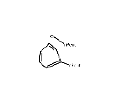 CCCCCCl.CCCCCc1ccccc1